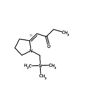 CCC(=O)/C=C1/CCCN1C[Si](C)(C)C